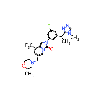 C[C@@H](c1cc(F)cc(-n2cc3c(C(F)(F)F)cc(CN4CCO[C@H](C)C4)cn3c2=O)c1)c1nncn1C